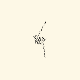 CCCCCCCCCCCCc1cc(C)sc1-c1sc(-c2sc(C)cc2CCCCCCCCCCCC)c2nccnc12